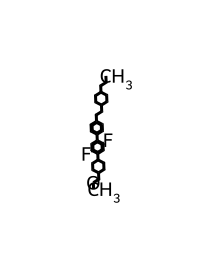 CCCC1CCC(CCc2ccc(-c3cc(F)c(C4CCC(COC)CC4)cc3F)cc2)CC1